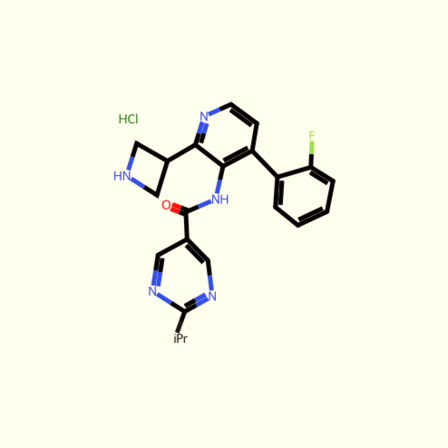 CC(C)c1ncc(C(=O)Nc2c(-c3ccccc3F)ccnc2C2CNC2)cn1.Cl